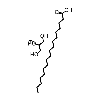 CCCCCCCCCCCCCCCCCC(=O)O.OCC(O)CO.[Zn]